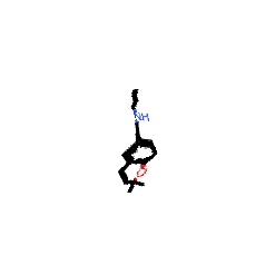 C=CCNCc1ccc2c(c1)C=CC(C)(C)O2